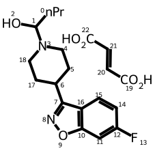 CCCC(O)N1CCC(c2noc3cc(F)ccc23)CC1.O=C(O)C=CC(=O)O